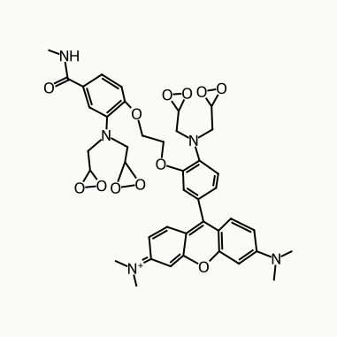 CNC(=O)c1ccc(OCCOc2cc(-c3c4ccc(=[N+](C)C)cc-4oc4cc(N(C)C)ccc34)ccc2N(CC2OO2)CC2OO2)c(N(CC2OO2)CC2OO2)c1